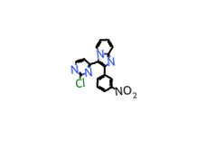 O=[N+]([O-])c1cccc(-c2nc3ccccn3c2-c2ccnc(Cl)n2)c1